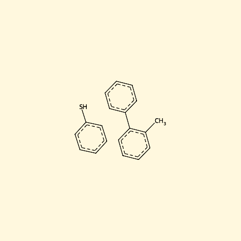 Cc1ccccc1-c1ccccc1.Sc1ccccc1